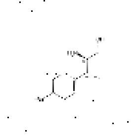 C[C@H](C1=CCC(C(C)(C)C)CC1)[C@@H](N)CO